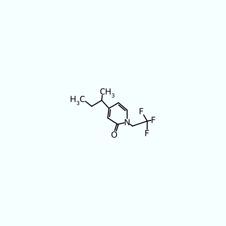 CCC(C)c1ccn(CC(F)(F)F)c(=O)c1